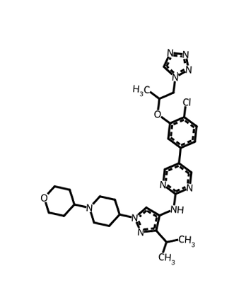 CC(Cn1cnnn1)Oc1cc(-c2cnc(Nc3cn(C4CCN(C5CCOCC5)CC4)nc3C(C)C)nc2)ccc1Cl